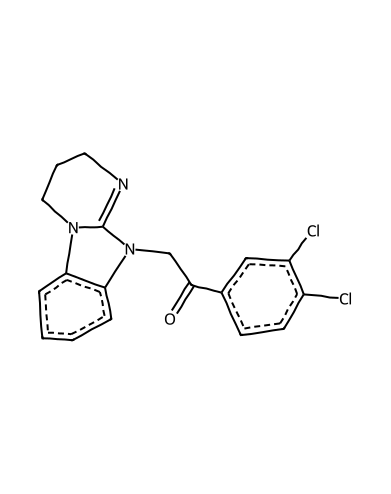 O=C(CN1C2=NCCCN2c2ccccc21)c1ccc(Cl)c(Cl)c1